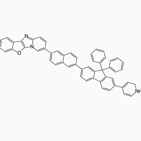 C1=CC(c2ccc3c(c2)C(c2ccccc2)(c2ccccc2)c2cc(-c4ccc5cc(-c6ccc7nc8c9ccccc9oc8n7c6)ccc5c4)ccc2-3)=CCN1